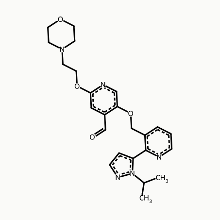 CC(C)n1nccc1-c1ncccc1COc1cnc(OCCN2CCOCC2)cc1C=O